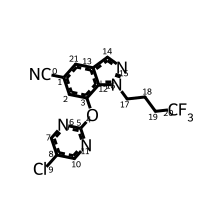 N#Cc1cc(Oc2ncc(Cl)cn2)c2c(cnn2CCCC(F)(F)F)c1